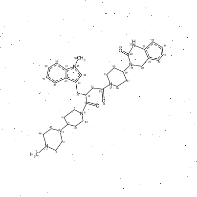 CN1CCN(C2CCN(C(=O)C(CC(=O)N3CCC(N4Cc5ccccc5NC4=O)CC3)Cc3cn(C)c4ccccc34)CC2)CC1